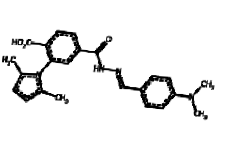 Cc1ccc(C)n1-c1cc(C(=O)N/N=C/c2ccc(N(C)C)cc2)ccc1C(=O)O